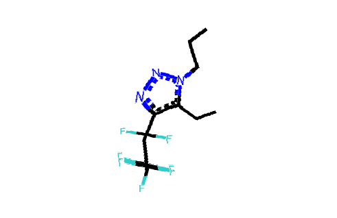 CCCn1nnc(C(F)(F)C(F)(F)F)c1CC